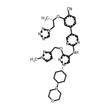 C[C@@H](Cn1cnnn1)Oc1cc(-c2cnc(Nc3cn([C@H]4CC[C@H](N5CCOCC5)CC4)nc3OCc3ccn(C)n3)nc2)ccc1C#N